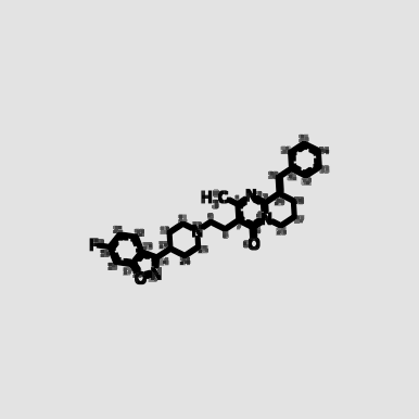 Cc1nc2n(c(=O)c1CCN1CCC(c3noc4cc(F)ccc34)CC1)CCCC2=Cc1ccccc1